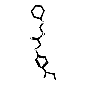 CCC(C)c1ccc(OCC(=O)OCOC2CCCCC2)cc1